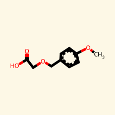 COc1ccc(CO[CH]C(=O)O)cc1